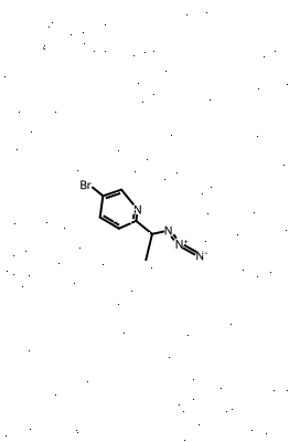 CC(N=[N+]=[N-])c1ccc(Br)cn1